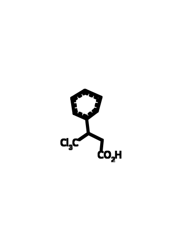 O=C(O)CC(c1ccccc1)C(Cl)(Cl)Cl